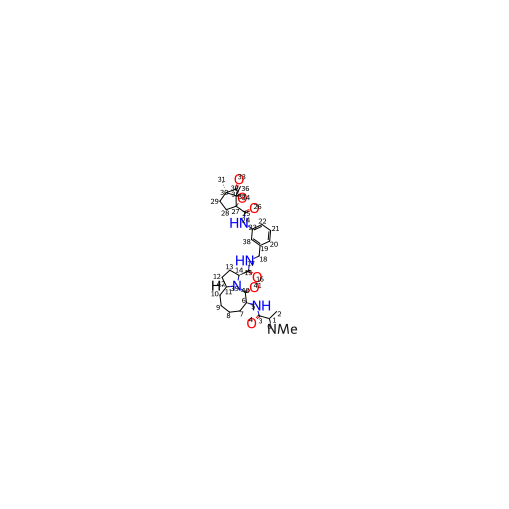 CNC(C)C(=O)N[C@H]1CCCC[C@H]2CC[C@@H](C(=O)NCc3cccc(NC(=O)C45CC[C@@](C)(C(=O)O4)C5(C)C)c3)N2C1=O